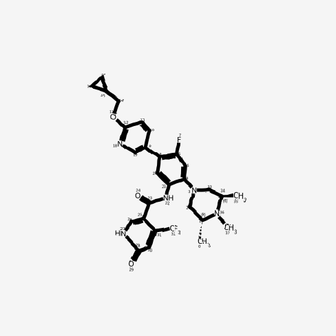 C[C@@H]1CN(c2cc(F)c(-c3ccc(OCC4CC4)nc3)cc2NC(=O)c2c[nH]c(=O)cc2C(F)(F)F)C[C@@H](C)N1C